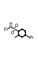 CCNS(=O)(=O)c1ccc(C(C)C)cc1C